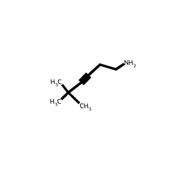 CC(C)(C)C#CCCN